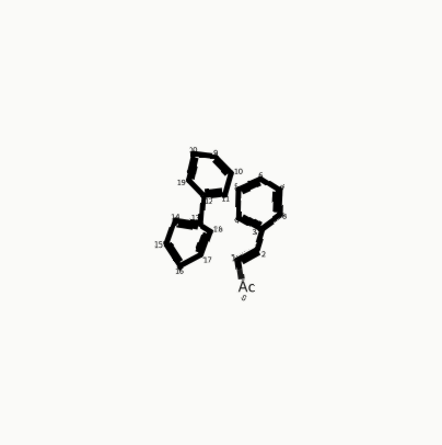 CC(=O)C=Cc1ccccc1.c1ccc(-c2ccccc2)cc1